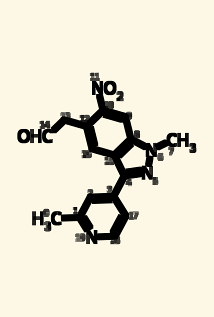 Cc1cc(-c2nn(C)c3cc([N+](=O)[O-])c(CC=O)cc23)ccn1